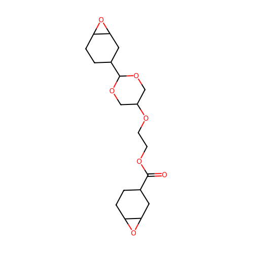 O=C(OCCOC1COC(C2CCC3OC3C2)OC1)C1CCC2OC2C1